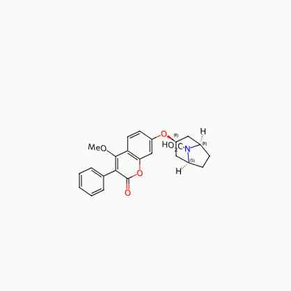 COc1c(-c2ccccc2)c(=O)oc2cc(O[C@H]3C[C@H]4CC[C@@H](C3)N4C(=O)O)ccc12